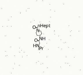 CCCCCCCC(=O)N1CCC(NC(=O)CNC(C)C)CC1